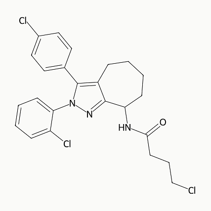 O=C(CCCCl)NC1CCCCc2c1nn(-c1ccccc1Cl)c2-c1ccc(Cl)cc1